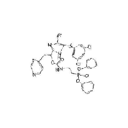 CC(C)c1nc(C(Cc2ccncc2)OC(=O)NCCP(=O)(Oc2ccccc2)Oc2ccccc2)[nH]c1Sc1cc(Cl)cc(Cl)c1